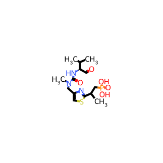 CC(CP(=O)(O)O)c1nc(CN(C)C(=O)N[C@H](C=O)C(C)C)cs1